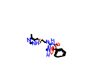 CN/C(=N\CCSCc1[nH]cnc1C)NS(=O)(=O)c1ccccc1